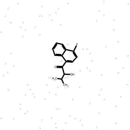 CC(C)C(O)C(=O)c1ccc(F)c2ccccc12